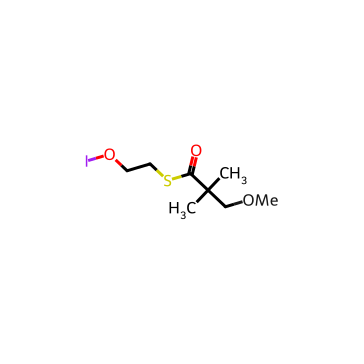 COCC(C)(C)C(=O)SCCOI